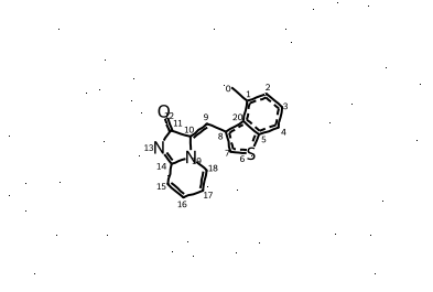 Cc1cccc2scc(/C=C3/C(=O)N=C4C=CC=CN43)c12